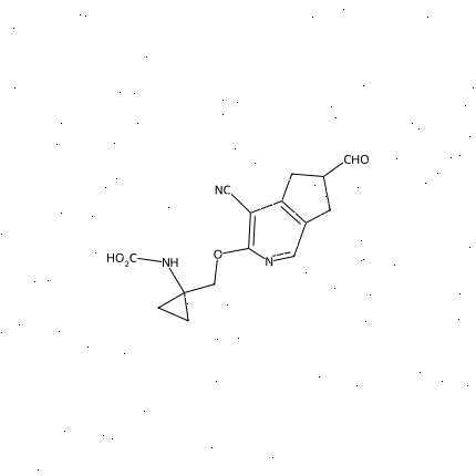 N#Cc1c(OCC2(NC(=O)O)CC2)ncc2c1CC(C=O)C2